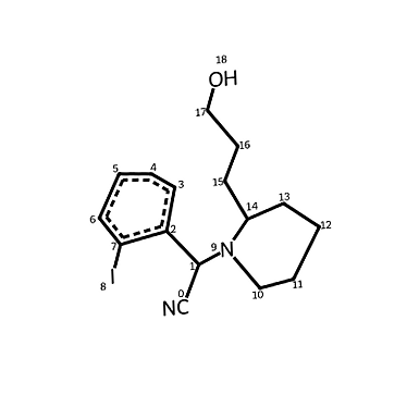 N#CC(c1ccccc1I)N1CCCCC1CCCO